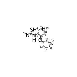 C/N=C(\S)Nc1ccccc1Oc1cccc(C)c1.I